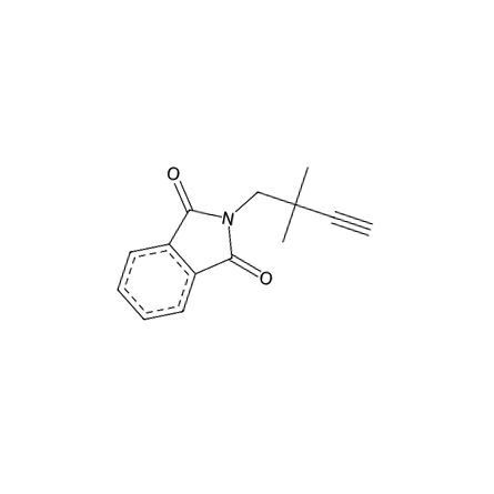 C#CC(C)(C)CN1C(=O)c2ccccc2C1=O